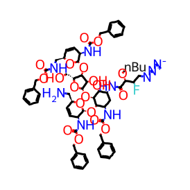 CCCCO[C@H](C(=O)N[C@@H]1C[C@H](NC(=O)OCc2ccccc2)[C@@H](O[C@H]2O[C@H](CN)C=C[C@H]2NC(=O)OCc2ccccc2)[C@H](O[C@@H]2O[C@H](CO)[C@@H](O[C@H]3O[C@@H](CNC(=O)OCc4ccccc4)C=C[C@H]3NC(=O)OCc3ccccc3)[C@H]2O)[C@H]1O)[C@H](F)CN=[N+]=[N-]